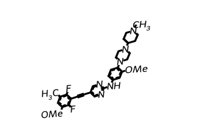 COc1cc(Nc2ncc(C#Cc3c(F)c(C)cc(OC)c3F)cn2)ccc1N1CCN(C2CCN(C)CC2)CC1